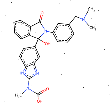 CN(C)Cc1cccc(N2C(=O)c3ccccc3C2(O)c2ccc3[nH]c(N(C)C(=O)O)nc3c2)c1